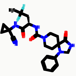 CC(F)(F)C[C@H](NC(=O)N1CCC2(CC1)C(=O)NCN2c1ccccc1)C(=O)NC1(C#N)CC1